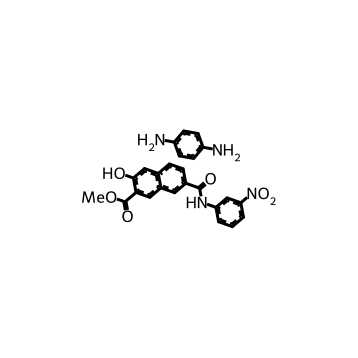 COC(=O)c1cc2cc(C(=O)Nc3cccc([N+](=O)[O-])c3)ccc2cc1O.Nc1ccc(N)cc1